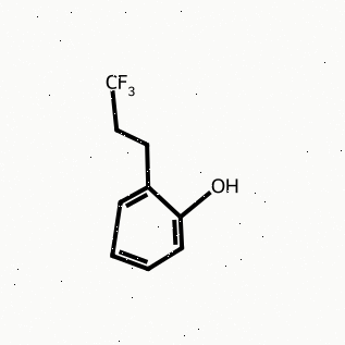 Oc1ccccc1CCC(F)(F)F